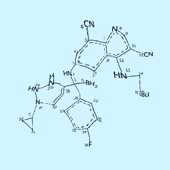 BC(Nc1cc(C#N)c2ncc(C#N)c(NCC(C)(C)C)c2c1)(C1=CN(C2CC2)NN1)c1ccc(F)cc1